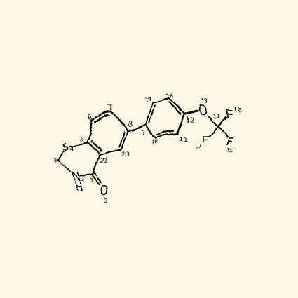 O=C1NCSc2ccc(-c3ccc(OC(F)(F)F)cc3)cc21